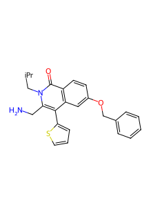 CC(C)Cn1c(CN)c(-c2cccs2)c2cc(OCc3ccccc3)ccc2c1=O